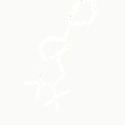 CC(C)(C)P(Cc1cccc(-c2ccccn2)n1)C(C)(C)C